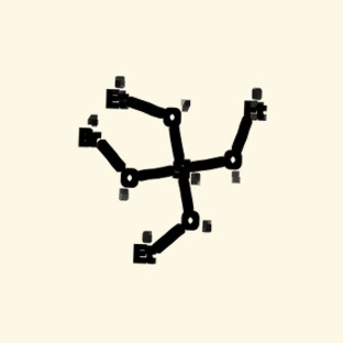 CCO[Si](OBr)(OCC)OCC